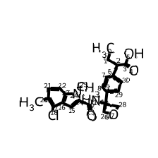 CCC(C(=O)O)c1ccc(C2(NC(=O)c3cc4c(Cl)c(C)ccc4n3C)COC2)cc1